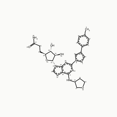 Cc1ccc(-c2cnn(-c3nc(NC4CCOC4)c4ncn([C@@H]5O[C@@H](CCC(N)=O)[C@H](O)[C@H]5O)c4n3)c2)cc1